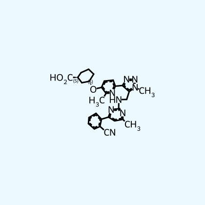 Cc1cc(-c2ccccc2C#N)nc(NCc2c(-c3ccc(O[C@H]4CCC[C@H](C(=O)O)C4)c(C)n3)nnn2C)n1